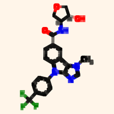 Cn1cnc2c1c1cc(C(=O)N[C@H]3COC[C@@H]3O)ccc1n2-c1ccc(C(F)(F)F)cc1